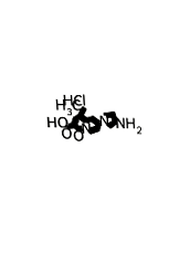 CCc1cc(C(=O)O)c(=O)n2ccc(N3CCC(N)C3)cc12.Cl